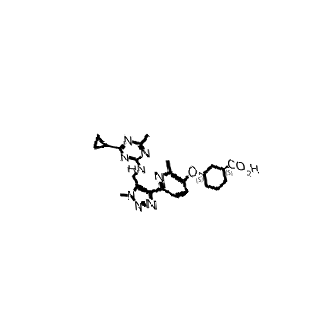 Cc1nc(NCc2c(-c3ccc(O[C@H]4CCC[C@H](C(=O)O)C4)c(C)n3)nnn2C)nc(C2CC2)n1